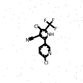 N#Cc1c(-c2ccc(Cl)nc2)[nH]c(C(F)(F)F)c1Cl